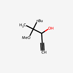 C#CC(O)C(C)(CCCC)OC